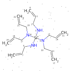 C=CCN[Si](NCC=C)(N(CC=C)CC=C)N(CC=C)CC=C